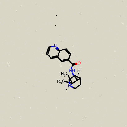 CC1(C)[C@@H](NC(=O)c2ccc3ncccc3c2)C2CCN1CC2